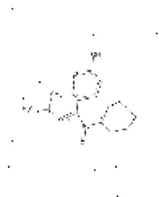 CN(C)/C=C(/C(=O)C1CCCCC1)c1ccc(O)cc1